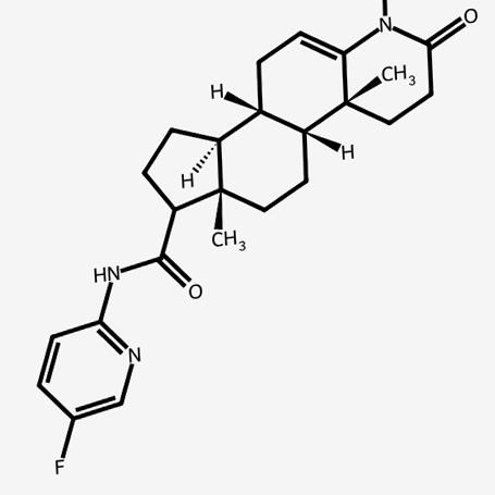 CN1C(=O)CC[C@@]2(C)C1=CC[C@@H]1[C@H]2CC[C@]2(C)C(C(=O)Nc3ccc(F)cn3)CC[C@@H]12